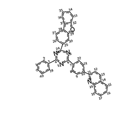 c1ccc(-c2nc(-c3ccc(-c4ccc5ccccc5n4)cc3)nc(-c3ccc4c(c3)oc3ccccc34)n2)cc1